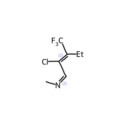 CC/C(=C(Cl)\C=N/C)C(F)(F)F